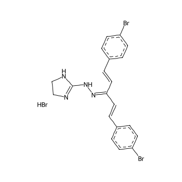 Br.Brc1ccc(/C=C/C(/C=C/c2ccc(Br)cc2)=NNC2=NCCN2)cc1